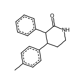 Cc1ccc(C2CCNC(=O)C2c2ccccc2)cc1